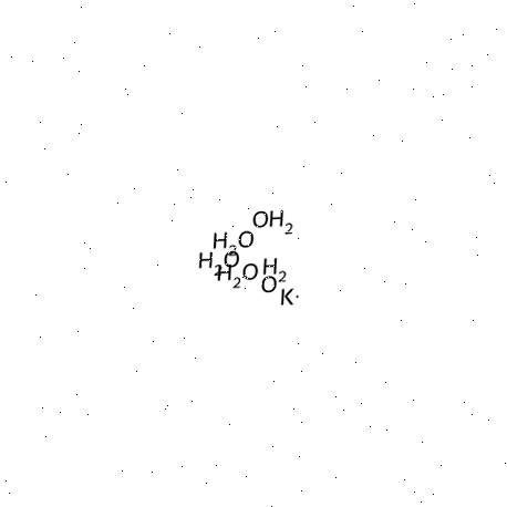 O.O.O.O.O.[K]